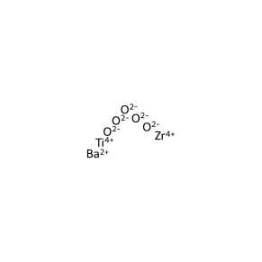 [Ba+2].[O-2].[O-2].[O-2].[O-2].[O-2].[Ti+4].[Zr+4]